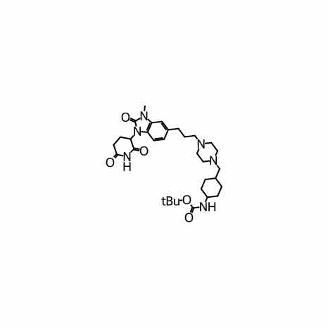 Cn1c(=O)n(C2CCC(=O)NC2=O)c2ccc(CCCN3CCN(CC4CCC(NC(=O)OC(C)(C)C)CC4)CC3)cc21